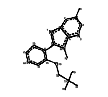 Cc1cnc2c(c1)nc(-c1ccncc1OCC(C)(C)C)n2C